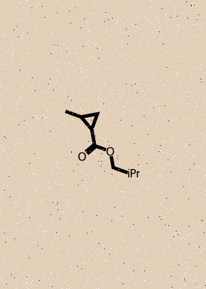 CC(C)COC(=O)C1CC1C